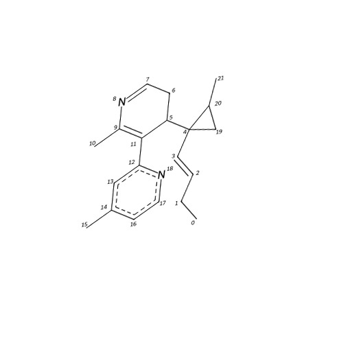 CCC=CC1(C2CC=NC(C)=C2c2cc(C)ccn2)CC1C